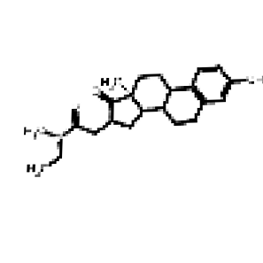 CCN(C)C(=O)CC1CC2C3CCc4cc(O)ccc4C3CC[C@]2(C)C1=O